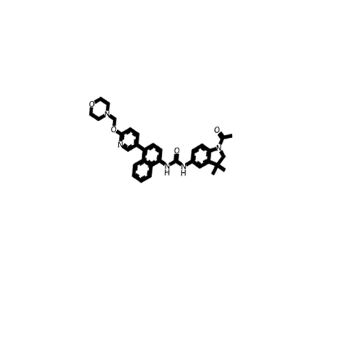 CC(=O)N1CC(C)(C)c2cc(NC(=O)Nc3ccc(-c4ccc(OCN5CCOCC5)nc4)c4ccccc34)ccc21